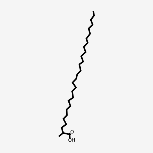 CCCCCCCCCCCCCCCCCCCCCCCCCCCC(C)C(=O)O